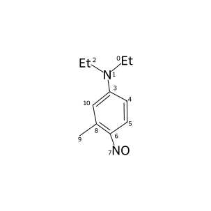 CCN(CC)c1ccc(N=O)c(C)c1